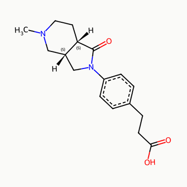 CN1CC[C@@H]2C(=O)N(c3ccc(CCC(=O)O)cc3)C[C@@H]2C1